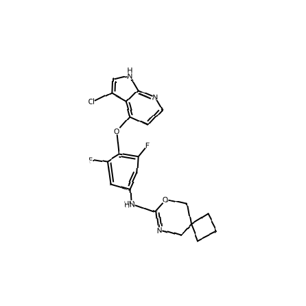 Fc1cc(NC2=NCC3(CCC3)CO2)cc(F)c1Oc1ccnc2[nH]cc(Cl)c12